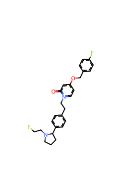 O=c1cc(OCc2ccc(F)cc2)ccn1CCc1ccc(C2CCCN2CCF)cc1